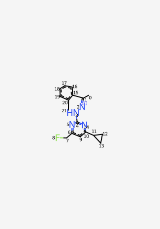 C/C(=N/Nc1nc(CF)cc(C2CC2)n1)c1ccccc1C